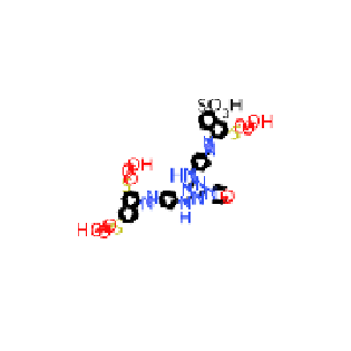 O=S(=O)(O)c1ccc2c(/N=N/c3ccc(Nc4nc(Nc5ccc(/N=N/c6cc(SOOO)cc7cc(SOOO)ccc67)cc5)nc(N5CCOCC5)n4)cc3)cc(SOOO)cc2c1